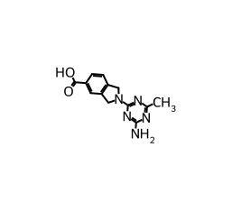 Cc1nc(N)nc(N2Cc3ccc(C(=O)O)cc3C2)n1